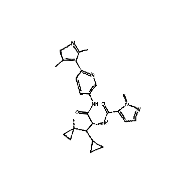 CC1=NCC(C)=C1c1ccc(NC(=O)[C@@H](NC(=O)c2ccnn2C)C(C2CC2)C2(C)CC2)cn1